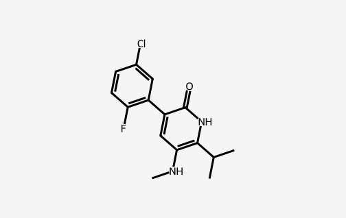 CNc1cc(-c2cc(Cl)ccc2F)c(=O)[nH]c1C(C)C